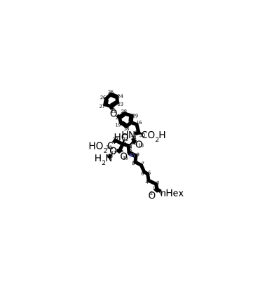 CCCCCCC(=O)CCCCCC/C=C/[C@H](C(=O)N[C@@H](Cc1ccc(Oc2ccccc2)cc1)C(=O)O)[C@@](O)(CC(=O)O)C(=O)ON